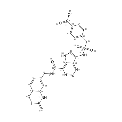 O=C1COc2ccc(CNC(=O)c3ncnc4c(NS(=O)(=O)Cc5ccc([N+](=O)[O-])cc5)c[nH]c34)cc2N1